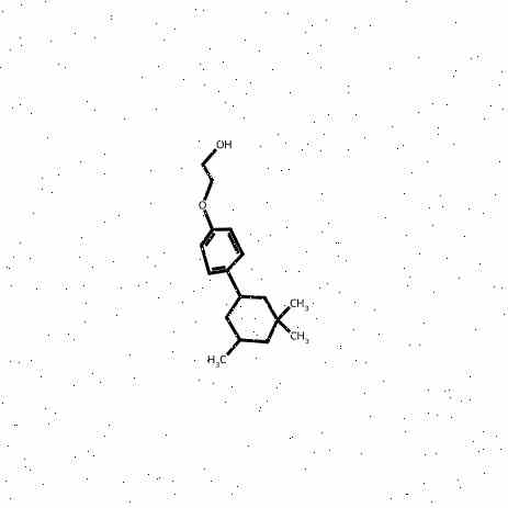 CC1CC(c2ccc(OCCO)cc2)CC(C)(C)C1